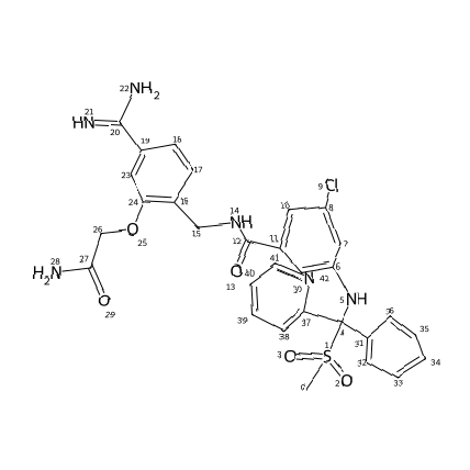 CS(=O)(=O)C(Nc1cc(Cl)cc(C(=O)NCc2ccc(C(=N)N)cc2OCC(N)=O)c1)(c1ccccc1)c1ccccn1